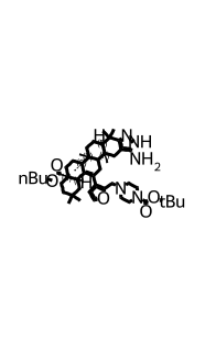 CCCCOC(=O)[C@]12CCC(C)(C)C[C@H]1C1=C(c3ccoc3CN3CCN(C(=O)OC(C)(C)C)CC3)CC3[C@@]4(C)Cc5c(n[nH]c5N)C(C)(C)[C@@H]4CC[C@@]3(C)[C@]1(C)CC2